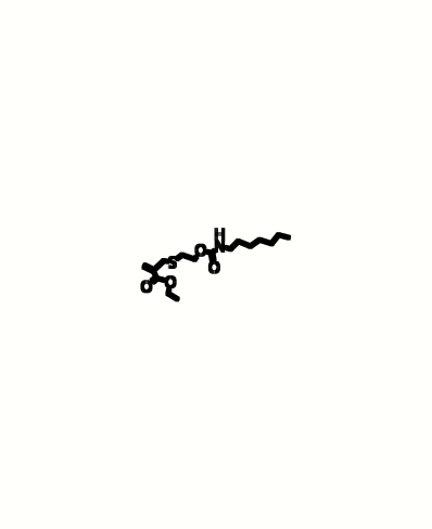 C=C(CSCCOC(=O)NCCCCCCC)C(=O)OCC